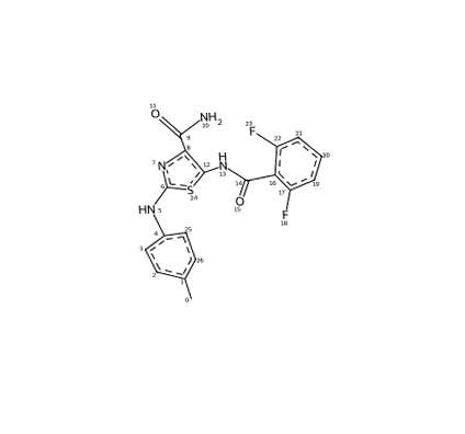 Cc1ccc(Nc2nc(C(N)=O)c(NC(=O)c3c(F)cccc3F)s2)cc1